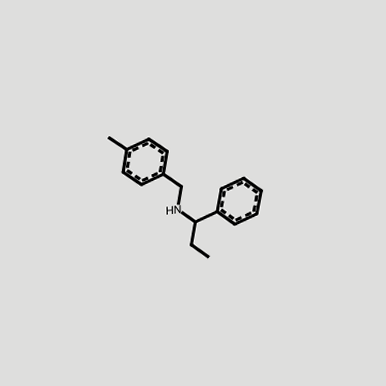 CCC(NCc1ccc(C)cc1)c1ccccc1